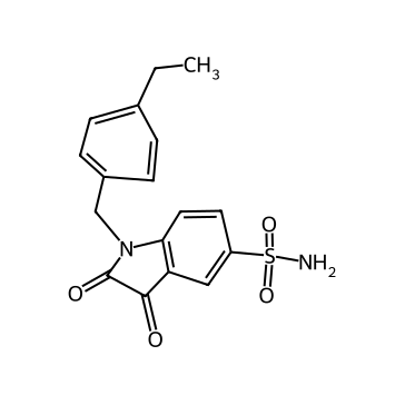 CCc1ccc(CN2C(=O)C(=O)c3cc(S(N)(=O)=O)ccc32)cc1